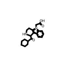 O=C(O)Cn1c2c(c3ccccc31)C(C(=O)C1CCCCC1)NCC2